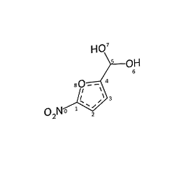 O=[N+]([O-])c1ccc(C(O)O)o1